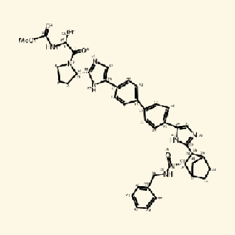 COC(=O)N[C@H](C(=O)N1CCC[C@H]1c1ncc(-c2ccc(-c3ccc(-c4cnc([C@H]5C6CCC(C6)[C@@H]5C(=O)NCc5ccccc5)[nH]4)cc3)cc2)[nH]1)C(C)C